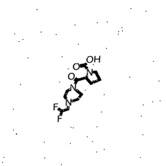 O=C(C1CCCN1C(=O)O)N1CCN(CC(F)F)CC1